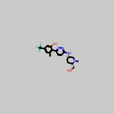 Cc1cc(C(F)(F)F)cc(O)c1-c1ccc(N[C@H]2CC[C@@H](CO)N(C)C2)nn1